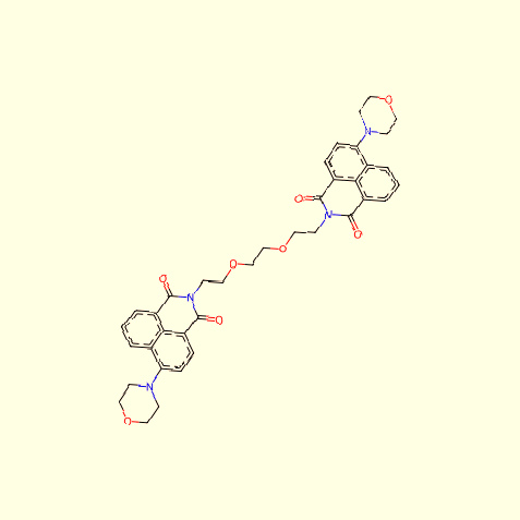 O=C1c2cccc3c(N4CCOCC4)ccc(c23)C(=O)N1CCOCCOCCN1C(=O)c2cccc3c(N4CCOCC4)ccc(c23)C1=O